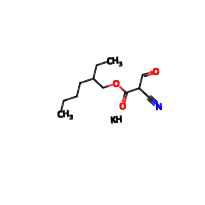 CCCCC(CC)COC(=O)C(C#N)C=O.[KH]